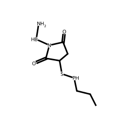 CCCPSC1CC(=O)N(BN)C1=O